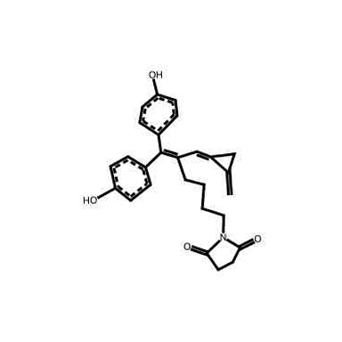 C=C1C/C1=C/C(CCCCN1C(=O)CCC1=O)=C(c1ccc(O)cc1)c1ccc(O)cc1